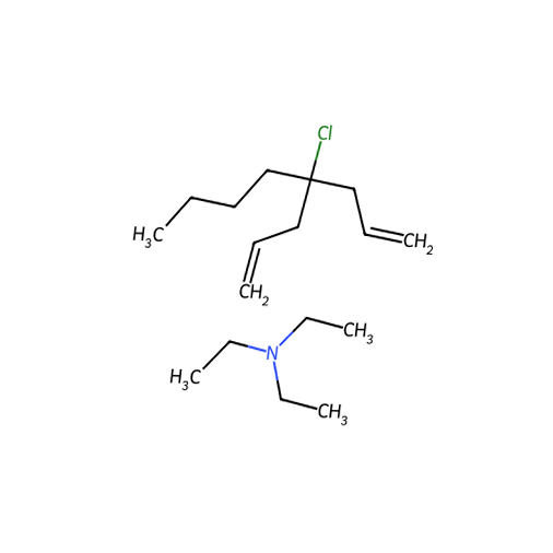 C=CCC(Cl)(CC=C)CCCC.CCN(CC)CC